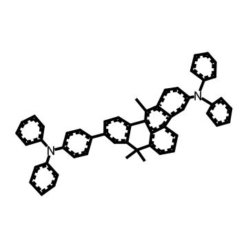 Cc1c2c3c(cccc3c3cc(N(c4ccccc4)c4ccccc4)ccc13)C(C)(C)c1cc(-c3ccc(N(c4ccccc4)c4ccccc4)cc3)ccc1-2